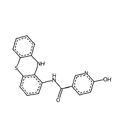 O=C(Nc1cccc2c1Nc1ccccc1S2)c1ccc(O)nc1